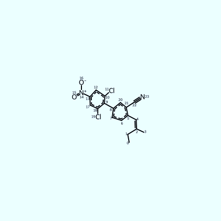 CCC(C)=Cc1ccc(-c2c(Cl)cc([N+](=O)[O-])cc2Cl)cc1C#N